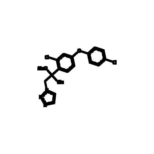 COC(Cn1ccnn1)(c1ccc(Oc2ccc(Cl)cc2)cc1Cl)C(C)(C)C